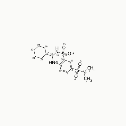 CN(C)S(=O)(=O)c1ccc2c(c1)S(=O)(=O)NC(C1CCCCC1)N2